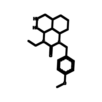 CCN1C(=O)N(Cc2ccc(OC)cc2)C2CCCC3CNNC1C32